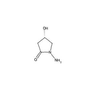 NN1C[C@@H](O)CC1=O